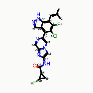 CC(C)=Cc1c(F)c(Cl)c(-c2cn3cc(NC(=O)C4CC4F)nc3cn2)c2cn[nH]c12